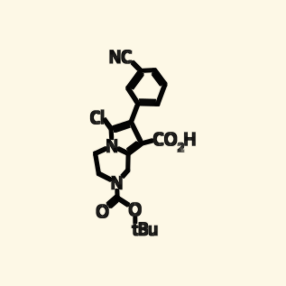 CC(C)(C)OC(=O)N1CCn2c(Cl)c(-c3cccc(C#N)c3)c(C(=O)O)c2C1